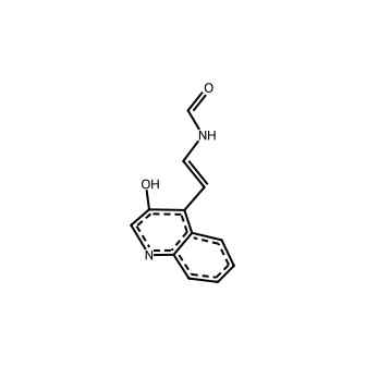 O=CNC=Cc1c(O)cnc2ccccc12